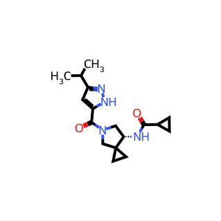 CC(C)c1cc(C(=O)N2C[C@H](NC(=O)C3CC3)C3(CC3)C2)[nH]n1